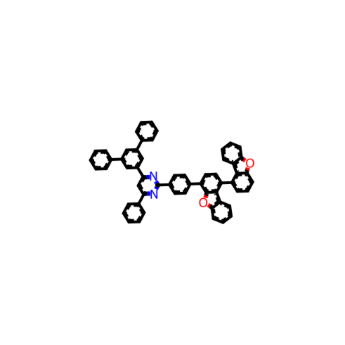 c1ccc(-c2cc(-c3ccccc3)cc(-c3cc(-c4ccccc4)nc(-c4ccc(-c5ccc(-c6cccc7oc8ccccc8c67)c6c5oc5ccccc56)cc4)n3)c2)cc1